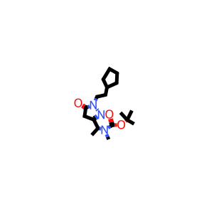 CC(C1=NN(CCC2CCCC2)C(=O)C1)N(C)C(=O)OC(C)(C)C